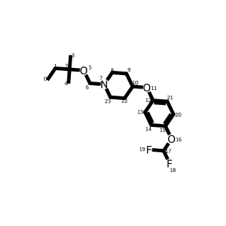 CCC(C)(C)OCN1CCC(Oc2ccc(OC(F)F)cc2)CC1